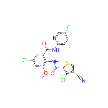 COc1cc(Cl)cc(C(=O)Nc2ccc(Cl)cn2)c1NC(=O)c1scc(C#N)c1Cl